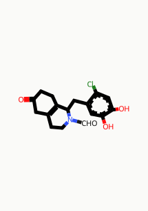 O=CN1CCC2=C(CCC(=O)C2)C1Cc1cc(O)c(O)cc1Cl